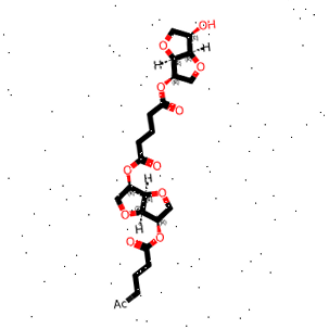 CC(=O)CCCC(=O)O[C@@H]1CO[C@H]2[C@@H]1OC[C@H]2OC(=O)CCCC(=O)O[C@@H]1CO[C@H]2[C@@H]1OC[C@H]2O